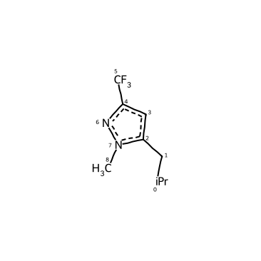 CC(C)Cc1cc(C(F)(F)F)nn1C